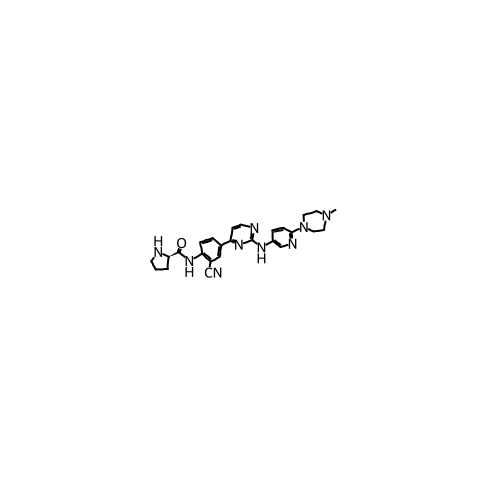 CN1CCN(c2ccc(Nc3nccc(-c4ccc(NC(=O)[C@H]5CCCN5)c(C#N)c4)n3)cn2)CC1